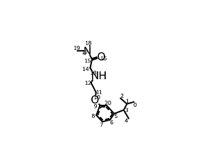 CC(C)C(C)c1cccc(OCCNCC(=O)N(C)C)c1